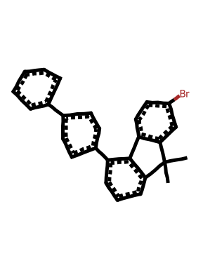 CC1(C)c2cc(Br)ccc2-c2c(-c3ccc(-c4ccccc4)cc3)cccc21